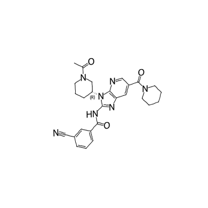 CC(=O)N1CCC[C@@H](n2c(NC(=O)c3cccc(C#N)c3)nc3cc(C(=O)N4CCCCC4)cnc32)C1